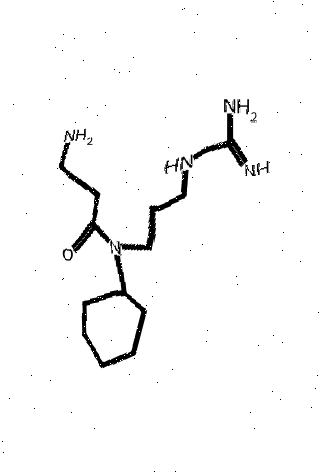 N=C(N)NCCCN(C(=O)CCN)C1CCCCC1